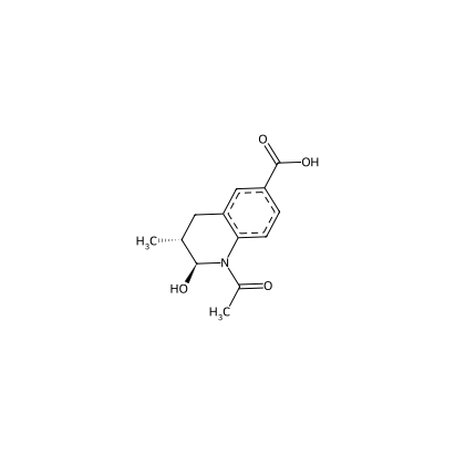 CC(=O)N1c2ccc(C(=O)O)cc2C[C@@H](C)[C@@H]1O